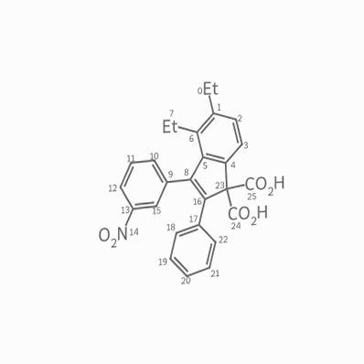 CCc1ccc2c(c1CC)C(c1cccc([N+](=O)[O-])c1)=C(c1ccccc1)C2(C(=O)O)C(=O)O